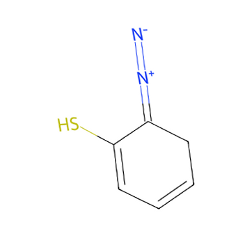 [N-]=[N+]=C1CC=CC=C1S